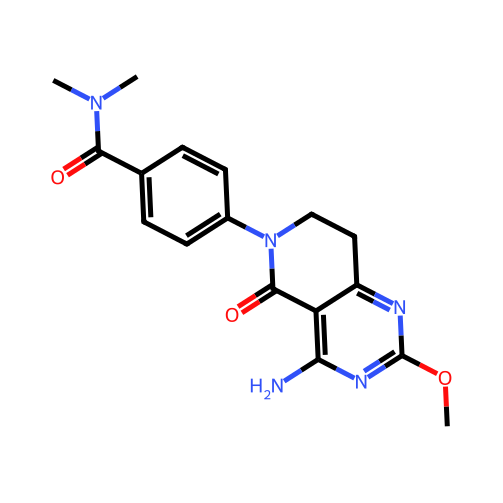 COc1nc(N)c2c(n1)CCN(c1ccc(C(=O)N(C)C)cc1)C2=O